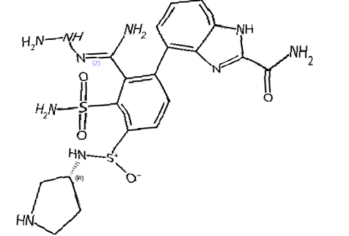 NN/N=C(\N)c1c(-c2cccc3[nH]c(C(N)=O)nc23)ccc([S+]([O-])N[C@@H]2CCNC2)c1S(N)(=O)=O